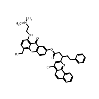 CN(C)CCNc1ccc(CO)c2oc3ccc(OC(=O)CC(CCc4ccccc4)c4cc(Cl)c5ccc6ccccc6c5n4)cc3c(=O)c12